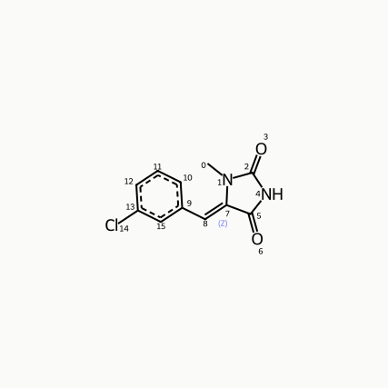 CN1C(=O)NC(=O)/C1=C/c1cccc(Cl)c1